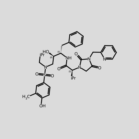 Cc1cc(S(=O)(=O)N(CC(C)C)C[C@@H](O)[C@H](Cc2ccccc2)NC(=O)[C@H](C(C)C)N2CC(=O)N(Cc3ccccn3)C2=O)ccc1O